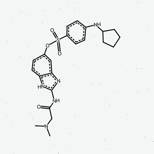 CN(C)CC(=O)Nc1nc2cc(OS(=O)(=O)c3ccc(NC4CCCC4)cc3)ccc2[nH]1